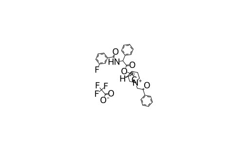 O=C(C[N+]12CCC(CC1)[C@@H](OC(=O)C(NC(=O)c1cccc(F)c1)c1ccccc1)C2)c1ccccc1.O=C([O-])C(F)(F)F